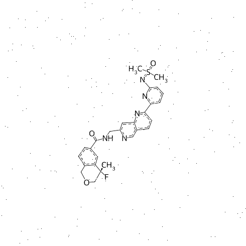 C[C@@]1(F)COCc2ccc(C(=O)NCc3cc4nc(-c5cccc(N=S(C)(C)=O)n5)ccc4cn3)cc21